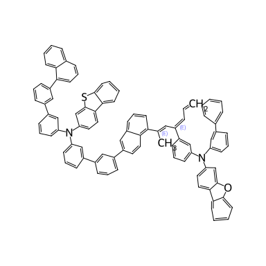 C=C/C=C(\C=C(/C)c1cccc2cc(-c3cccc(-c4cccc(N(c5cccc(-c6cccc(-c7cccc8ccccc78)c6)c5)c5ccc6c(c5)sc5ccccc56)c4)c3)ccc12)c1cccc(N(c2cccc(-c3ccccc3)c2)c2ccc3c(c2)oc2ccccc23)c1